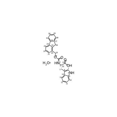 O.O=C(N[C@@H](Cc1c[nH]c2ccccc12)C(=O)O)OCc1cccc2c1Cc1ccccc1-2